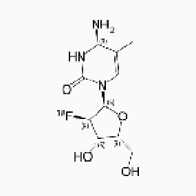 CC1=CN([C@H]2O[C@H](CO)[C@H](O)[C@H]2[18F])C(=O)N[C@H]1N